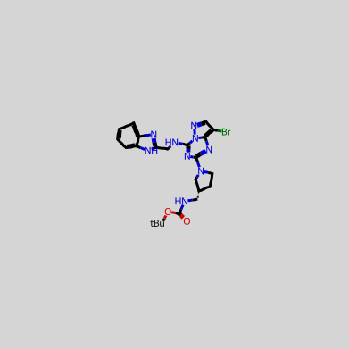 CC(C)(C)OC(=O)NC[C@H]1CCN(c2nc(NCc3nc4ccccc4[nH]3)n3ncc(Br)c3n2)C1